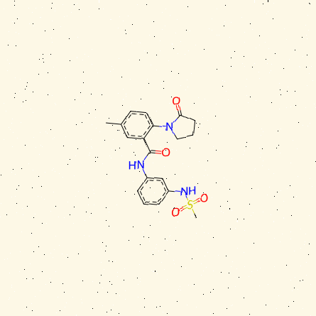 Cc1ccc(N2CCCC2=O)c(C(=O)Nc2cccc(NS(C)(=O)=O)c2)c1